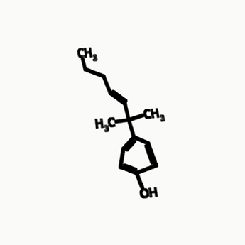 CCCC=CC(C)(C)c1ccc(O)cc1